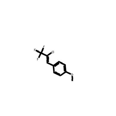 COc1ccc(C=C(Cl)C(F)(F)F)cc1